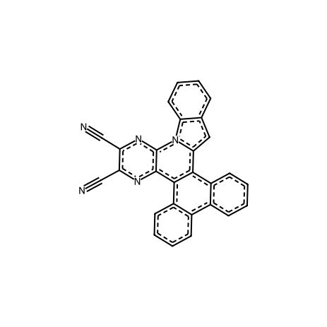 N#Cc1nc2c3c4ccccc4c4ccccc4c3c3cc4ccccc4n3c2nc1C#N